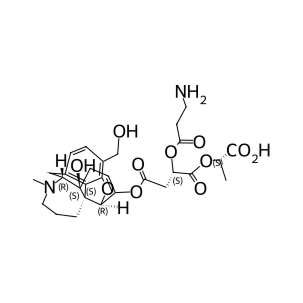 C[C@H](OC(=O)[C@H](CC(=O)OC1=CC[C@@]2(O)[C@H]3Cc4ccc(CO)c5c4[C@@]2(CCCN3C)[C@H]1O5)OC(=O)CCN)C(=O)O